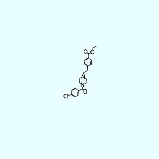 CCOC(=O)c1ccc(CCN2CCN(C(=O)c3ccc(Cl)cc3)CC2)cc1